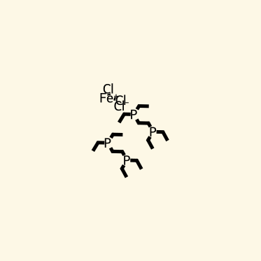 CCP(CC)CCP(CC)CC.CCP(CC)CCP(CC)CC.[Cl-].[Cl][Fe+][Cl]